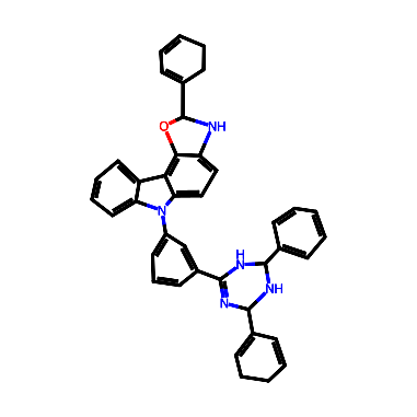 C1=CCCC(C2Nc3ccc4c(c3O2)c2ccccc2n4-c2cccc(C3=NC(C4=CCCC=C4)NC(c4ccccc4)N3)c2)=C1